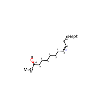 CCCCCCCC/C=C\CCCCCCC(=O)OC